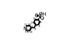 O=S(=O)(O)c1ccc(Cc2ccnnc2)cc1